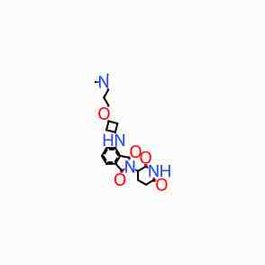 CN(C)CCCO[C@H]1C[C@H](Nc2cccc3c2C(=O)N(C2CCC(=O)NC2=O)C3=O)C1